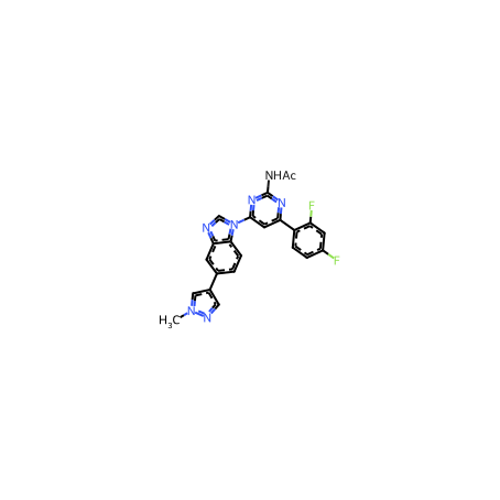 CC(=O)Nc1nc(-c2ccc(F)cc2F)cc(-n2cnc3cc(-c4cnn(C)c4)ccc32)n1